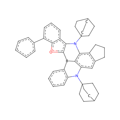 c1ccc(-c2cccc3c4c(oc23)B2c3ccccc3N(C35CCC(CC3)CC5)c3cc5c(c(c32)N4C23CCC(CC2)CC3)CCC5)cc1